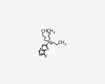 CCC[CH2][Sn]([CH2]CCC)([CH2]CCC)[c]1cn2cnc(F)c2s1